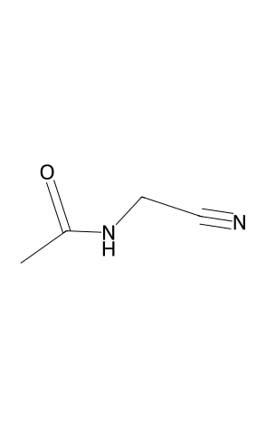 CC(=O)NCC#N